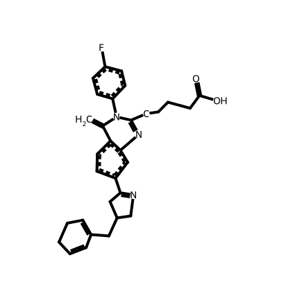 C=C1c2ccc(C3=NCC(CC4=CCCC=C4)C3)cc2N=C(CCCCC(=O)O)N1c1ccc(F)cc1